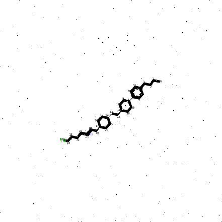 CCCCc1ccc([C@H]2CC[C@H](CC[C@H]3CC[C@H](C/C=C/CCCCF)CC3)CC2)cc1